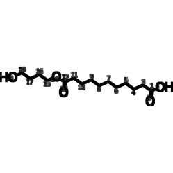 O=C(O)CCCCCCCCCC(=O)OCCCCO